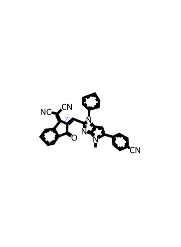 Cn1c(-c2ccc(C#N)cc2)cc2c1nc(/C=C1\C(=O)c3ccccc3C1=C(C#N)C#N)n2-c1ccccc1